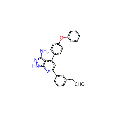 Nc1n[nH]c2nc(-c3cccc(CC=O)c3)cc(-c3ccc(Oc4ccccc4)cc3)c12